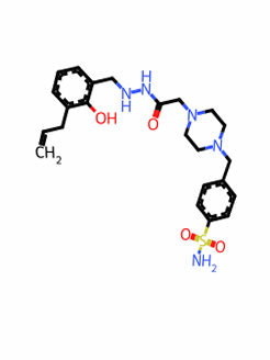 C=CCc1cccc(CNNC(=O)CN2CCN(Cc3ccc(S(N)(=O)=O)cc3)CC2)c1O